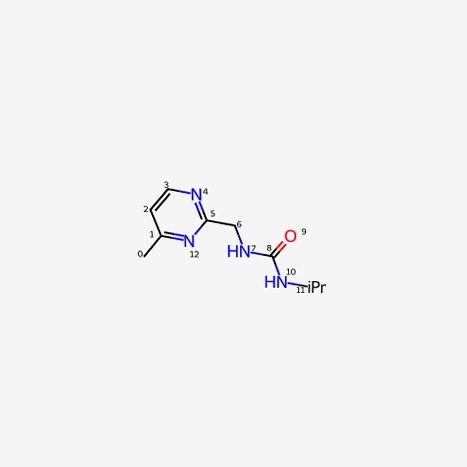 Cc1ccnc(CNC(=O)NC(C)C)n1